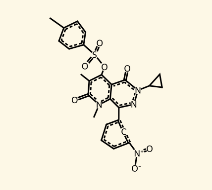 Cc1ccc(S(=O)(=O)Oc2c(C)c(=O)n(C)c3c(-c4cccc([N+](=O)[O-])c4)nn(C4CC4)c(=O)c23)cc1